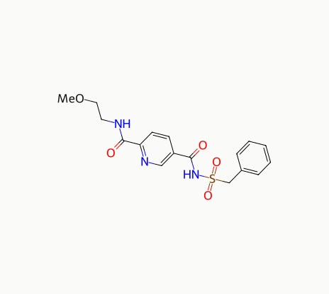 COCCNC(=O)c1ccc(C(=O)NS(=O)(=O)Cc2ccccc2)cn1